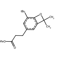 COC(=O)CCc1cc(C(C)(C)C)c2c(c1)C(C)(C)O2